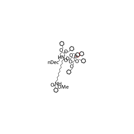 CCCCCCCCCCCCCC[C@@H](OCc1ccccc1)[C@@H](OCc1ccccc1)[C@H](CO[C@H]1O[C@H](COCc2ccccc2)[C@H](OCc2ccccc2)[C@H](OCc2ccccc2)[C@H]1OCc1ccccc1)NC(=O)CCCCCCCCCCCNC(=O)c1ccccc1OC